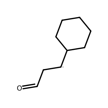 O=CC[CH]C1CCCCC1